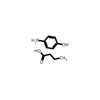 CCCC(=O)O.Nc1ccc(O)cc1